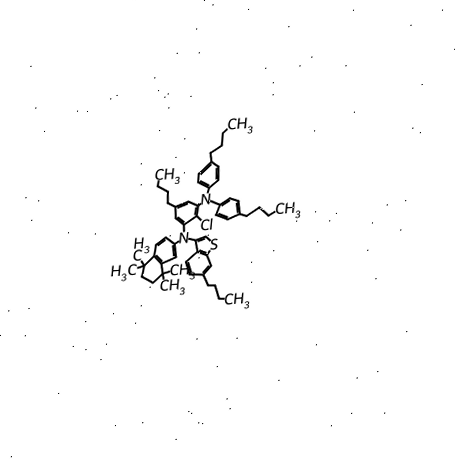 CCCCc1ccc(N(c2ccc(CCCC)cc2)c2cc(CCCC)cc(N(c3ccc4c(c3)C(C)(C)CCC4(C)C)c3csc4cc(CCCC)ccc34)c2Cl)cc1